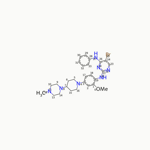 COc1cc(N2CCC(N3CCN(C)CC3)CC2)ccc1Nc1ncc(Br)c(Nc2ccccc2)n1